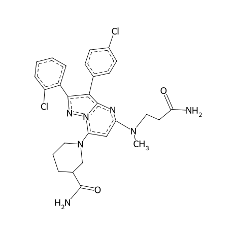 CN(CCC(N)=O)c1cc(N2CCCC(C(N)=O)C2)n2nc(-c3ccccc3Cl)c(-c3ccc(Cl)cc3)c2n1